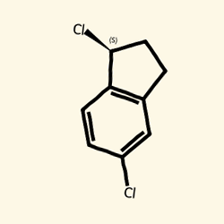 Clc1ccc2c(c1)CC[C@@H]2Cl